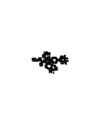 C[C@H]1OC[C@]2(c3cc(B4OC(C)(C)C(C)(C)O4)ccc3F)N=C(N(C(=O)OC(C)(C)C)C(=O)OC(C)(C)C)SC[C@H]12